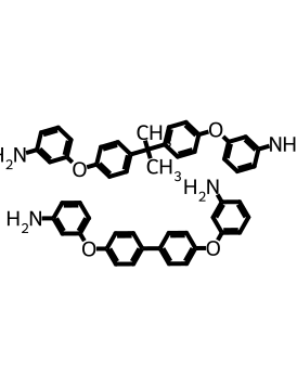 CC(C)(c1ccc(Oc2cccc(N)c2)cc1)c1ccc(Oc2cccc(N)c2)cc1.Nc1cccc(Oc2ccc(-c3ccc(Oc4cccc(N)c4)cc3)cc2)c1